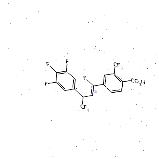 O=C(O)c1ccc(/C(F)=C/C(c2cc(F)c(F)c(F)c2)C(F)(F)F)cc1C(F)(F)F